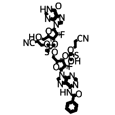 N#CCCOP(O)(=S)O[C@@H]1C(COP(=S)(OCCC#N)O[C@@H]2C(CO)OC(n3cnc4c(=O)[nH]cnc43)[C@@H]2F)OC(n2cnc3c(NC(=O)c4ccccc4)ncnc32)[C@@H]1F